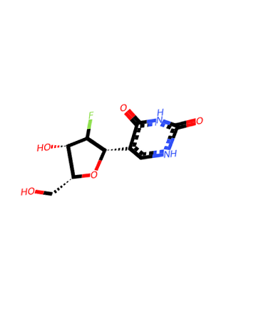 O=c1[nH]cc([C@@H]2O[C@H](CO)[C@H](O)C2F)c(=O)[nH]1